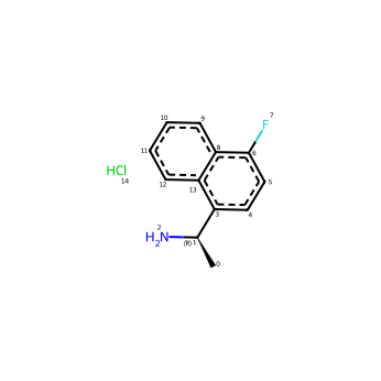 C[C@@H](N)c1ccc(F)c2ccccc12.Cl